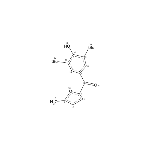 Cc1ccc(C(=O)c2cc(C(C)(C)C)c(O)c(C(C)(C)C)c2)o1